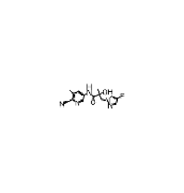 Cc1cc(NC(=O)C(C)(O)Cn2cc(F)cn2)cnc1C#N